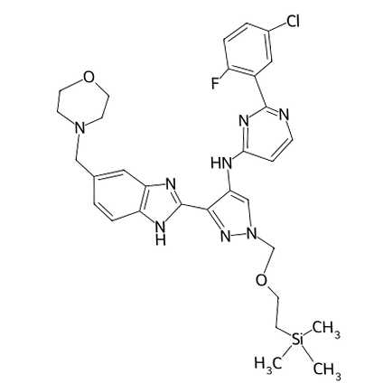 C[Si](C)(C)CCOCn1cc(Nc2ccnc(-c3cc(Cl)ccc3F)n2)c(-c2nc3cc(CN4CCOCC4)ccc3[nH]2)n1